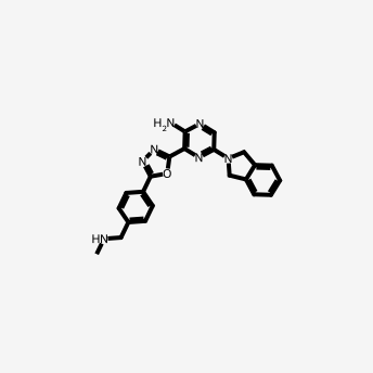 CNCc1ccc(-c2nnc(-c3nc(N4Cc5ccccc5C4)cnc3N)o2)cc1